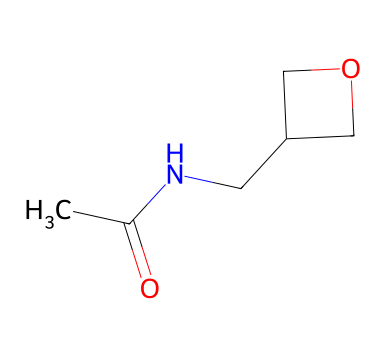 CC(=O)NCC1COC1